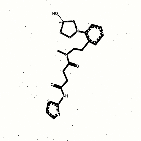 CN(CCc1ccccc1N1CC[C@H](O)C1)C(=O)CCC(=O)Nc1nccs1